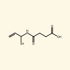 C=CC(S)NC(=O)CCC(=O)O